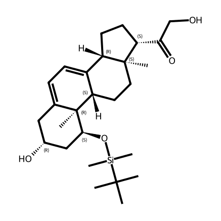 CC(C)(C)[Si](C)(C)O[C@H]1C[C@H](O)CC2=CC=C3[C@@H]4CC[C@H](C(=O)CO)[C@@]4(C)CC[C@@H]3[C@]21C